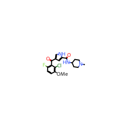 COc1ccc(F)c(C(=O)c2c[nH]c(C(=O)NC3CCN(C)CC3)c2)c1Cl